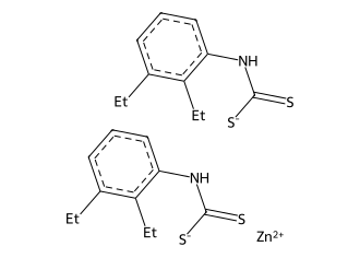 CCc1cccc(NC(=S)[S-])c1CC.CCc1cccc(NC(=S)[S-])c1CC.[Zn+2]